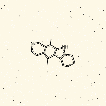 Cc1c2cnccc2c(C)c2c1[nH]c1ccccc12